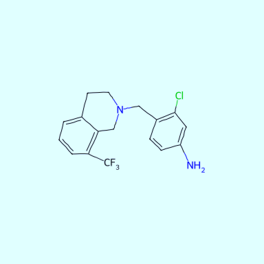 Nc1ccc(CN2CCc3cccc(C(F)(F)F)c3C2)c(Cl)c1